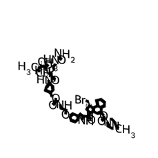 CC(C)[C@H](C)C(=O)N[C@@H](CCCNC(N)=O)C(=O)Nc1ccc(COC(=O)NCCOc2ccc3[nH]c(C(=O)N4C[C@@H](CBr)c5c4cc(OC(=O)N4CCN(C)CC4)c4ccccc54)cc3c2)cc1